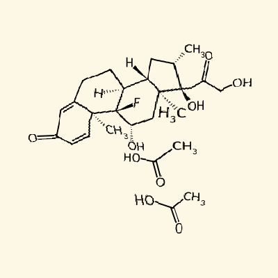 CC(=O)O.CC(=O)O.C[C@H]1C[C@H]2[C@@H]3CCC4=CC(=O)C=C[C@]4(C)[C@@]3(F)[C@@H](O)C[C@]2(C)[C@@]1(O)C(=O)CO